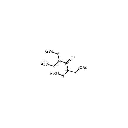 CC(=O)OCN(COC(C)=O)C(=O)N(COC(C)=O)COC(C)=O